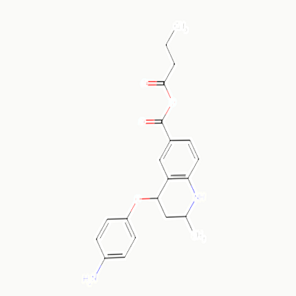 CCCC(=O)OC(=O)c1ccc2c(c1)C(Oc1ccc(N)cc1)CC(C)N2